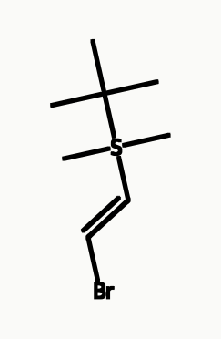 CC(C)(C)S(C)(C)/C=C/Br